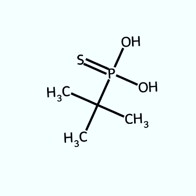 CC(C)(C)P(O)(O)=S